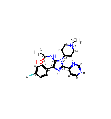 CC(O)Nc1c(-c2ccc(F)cc2)nc(-c2ccncn2)n1C1CCN(C)CC1